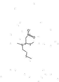 CSCC[N+](C)=C(C[N+](=O)[O-])SC